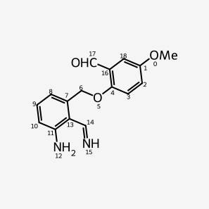 COc1ccc(OCc2cccc(N)c2C=N)c(C=O)c1